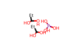 CCC(O)O.CCC(O)O.OP(O)O